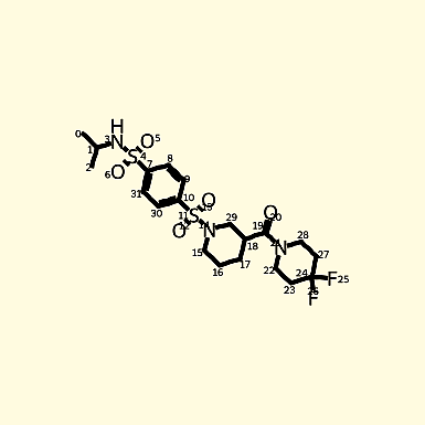 CC(C)NS(=O)(=O)c1ccc(S(=O)(=O)N2CCCC(C(=O)N3CCC(F)(F)CC3)C2)cc1